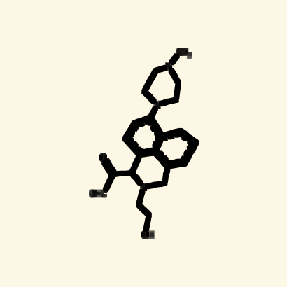 CN1CCN(c2ccc3c4c(cccc24)CN(CCO)C3C(=O)C=O)CC1